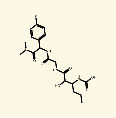 CCCC(NC(=O)O)C(O)C(=O)NCC(=O)NC(C(=O)N(C)C)c1ccc(F)cc1